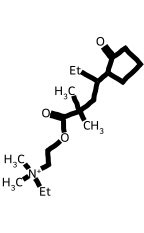 CCC(CC(C)(C)C(=O)OCC[N+](C)(C)CC)C1CCCC1=O